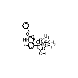 CC(C)(C)[S+]([O-])N[C@@](C)(CC(=O)O)c1ccc(F)c(NC(=O)OCc2ccccc2)c1F